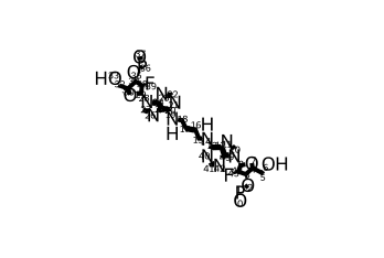 O=PO[C@@H]1C(CO)O[C@@H](n2cnc3c(NC/C=C/CNc4ncnc5c4ncn5[C@@H]4OC(CO)[C@@H](OP=O)[C@H]4F)ncnc32)[C@@H]1F